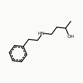 CC(O)CCNCCc1cc[c]cc1